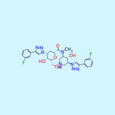 CN(C(=O)[C@H]1C[C@@H](n2cc(-c3cccc(F)c3)nn2)[C@@H](O)[C@@H](CO)O1)[C@@H]1CNC[C@H](n2cc(-c3cccc(F)c3)nn2)[C@H]1O